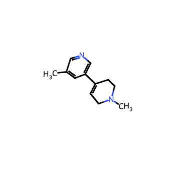 Cc1cncc(C2=CCN(C)CC2)c1